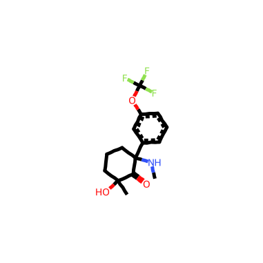 CNC1(c2cccc(OC(F)(F)F)c2)CCCC(C)(O)C1=O